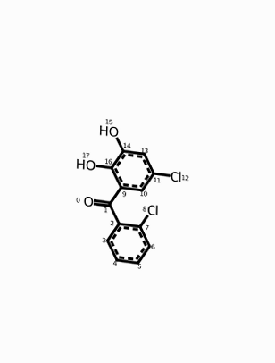 O=C(c1ccccc1Cl)c1cc(Cl)cc(O)c1O